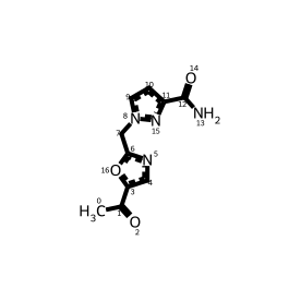 CC(=O)c1cnc(Cn2ccc(C(N)=O)n2)o1